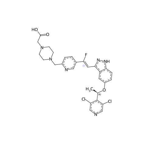 C[C@@H](Oc1ccc2[nH]nc(/C=C(\F)c3ccc(CN4CCN(CC(=O)O)CC4)nc3)c2c1)c1c(Cl)cncc1Cl